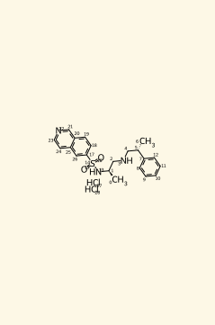 C[C@H](CNC[C@H](C)c1ccccc1)NS(=O)(=O)c1ccc2cnccc2c1.Cl.Cl